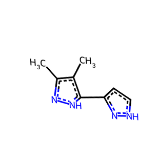 Cc1n[nH]c(-c2cc[nH]n2)c1C